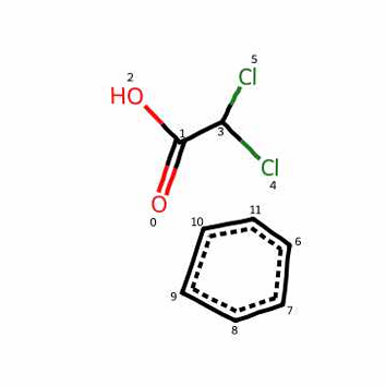 O=C(O)C(Cl)Cl.c1ccccc1